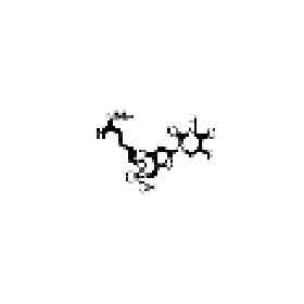 CNC(=N)CCCCOP(=O)(O)CC1OC(N2CC(F)C(=O)NC2=O)CC1O